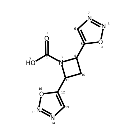 O=C(O)N1C(c2cnno2)CC1c1cnno1